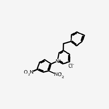 O=[N+]([O-])c1ccc(-[n+]2cccc(Cc3ccccc3)c2)c([N+](=O)[O-])c1.[Cl-]